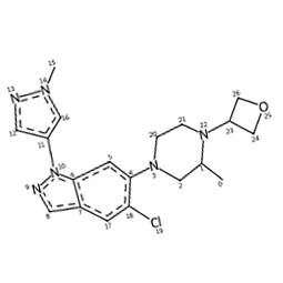 CC1CN(c2cc3c(cnn3-c3cnn(C)c3)cc2Cl)CCN1C1COC1